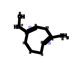 N/C1=C\CCC/C(NO)=C\C1